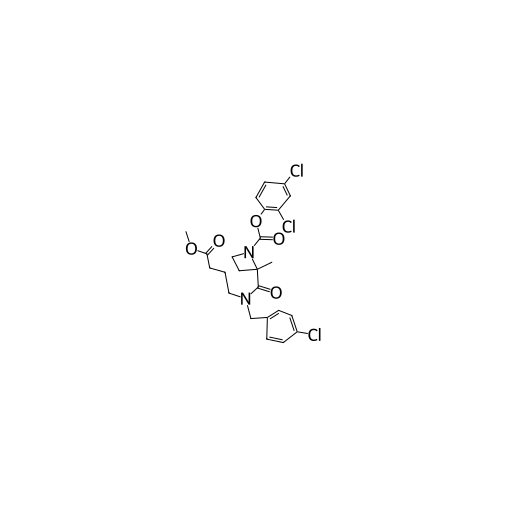 COC(=O)CCCN(Cc1ccc(Cl)cc1)C(=O)C1(C)CCN1C(=O)Oc1ccc(Cl)cc1Cl